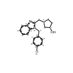 O[C@@H]1CCN(Cc2nc3ccccc3n2Cc2ccc(Cl)cc2)C1